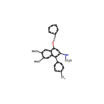 CCOC(=O)Nc1cc(OCc2ccccc2)c2cc(OC)c(OC)cc2c1-c1ccc(C(F)(F)F)cc1